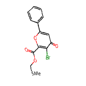 CSCOC(=O)c1oc(-c2ccccc2)cc(=O)c1Br